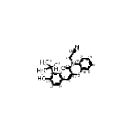 CC(C)(C)c1cc(/C=C2/Sc3ccccc3N(CC#N)C2=O)ccc1O